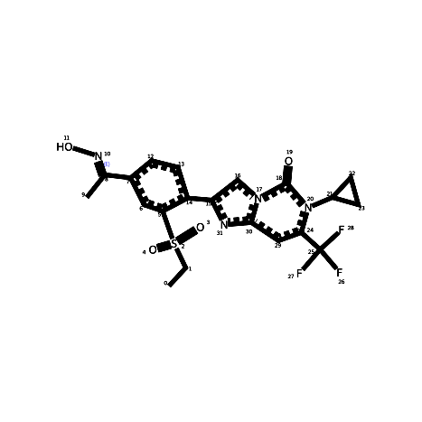 CCS(=O)(=O)c1cc(/C(C)=N/O)ccc1-c1cn2c(=O)n(C3CC3)c(C(F)(F)F)cc2n1